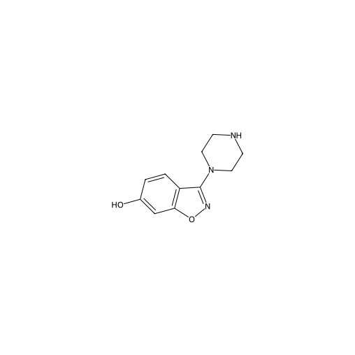 Oc1ccc2c(N3CCNCC3)noc2c1